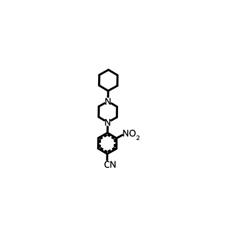 N#Cc1ccc(N2CCN(C3CCCCC3)CC2)c([N+](=O)[O-])c1